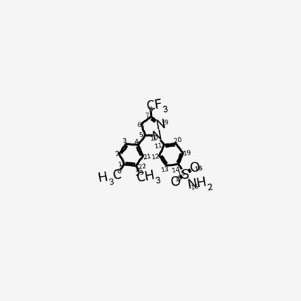 Cc1ccc(C2CC(C(F)(F)F)=NN2c2ccc(S(N)(=O)=O)cc2)cc1C